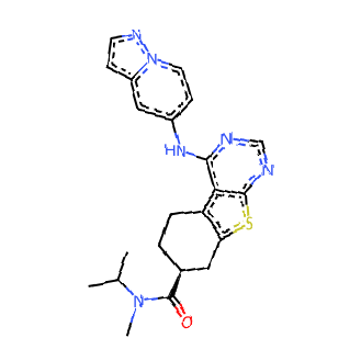 CC(C)N(C)C(=O)[C@H]1CCc2c(sc3ncnc(Nc4ccn5nccc5c4)c23)C1